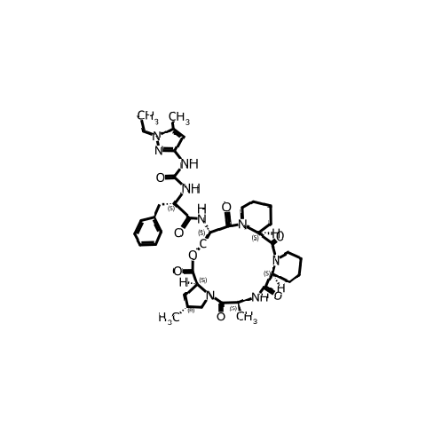 CCn1nc(NC(=O)N[C@@H](Cc2ccccc2)C(=O)N[C@H]2COC(=O)[C@@H]3C[C@@H](C)CN3C(=O)[C@H](C)NC(=O)[C@@H]3CCCCN3C(=O)[C@@H]3CCCCN3C2=O)cc1C